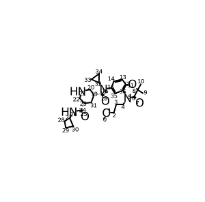 COCCCN1C(=O)C(C)(C)Oc2ccc(N(C(=O)[C@H]3CNC[C@@H](C(=O)NC4CCC4)C3)C3CC3)cc21